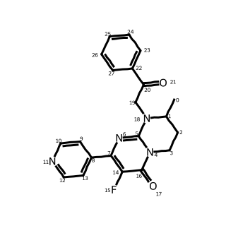 CC1CCn2c(nc(-c3ccncc3)c(F)c2=O)N1CC(=O)c1ccccc1